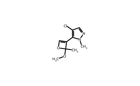 COC1(C)OC=C1c1c(Cl)cnn1C